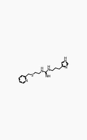 N=C(NCCCc1c[nH]cn1)NCCSCc1ccccn1